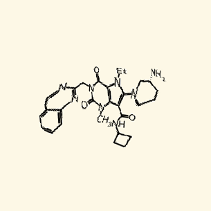 CCn1c(N2CCC[C@@H](N)C2)c(C(=O)NC2CCC2)c2c1c(=O)n(Cc1ncc3ccccc3n1)c(=O)n2C